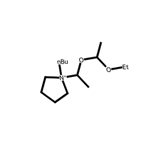 CCCC[N+]1(C(C)OC(C)OCC)CCCC1